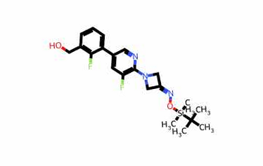 CC(C)(C)[Si](C)(C)ON=C1CN(c2ncc(-c3cccc(CO)c3F)cc2F)C1